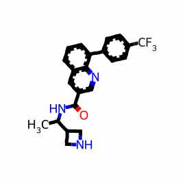 CC(NC(=O)c1cnc2c(-c3ccc(C(F)(F)F)cc3)cccc2c1)C1CNC1